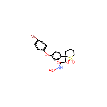 O=C(CC1(c2ccc(Oc3ccc(Br)cc3)cc2)CCCCS1(=O)=O)NO